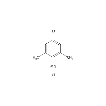 CCc1cc(C)[c]([Mg][Cl])c(C)c1